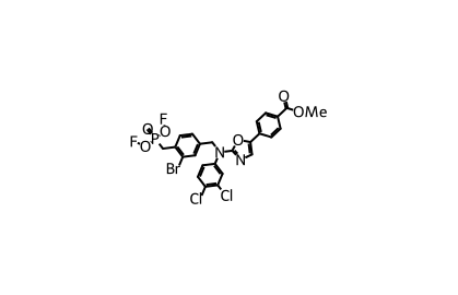 COC(=O)c1ccc(-c2cnc(N(Cc3ccc(CP(=O)(OF)OF)c(Br)c3)c3ccc(Cl)c(Cl)c3)o2)cc1